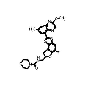 COc1cnc2c(-c3nc4cc(F)c5c(c4s3)CC(CNC(=O)N3CCOCC3)O5)cc(C)cc2n1